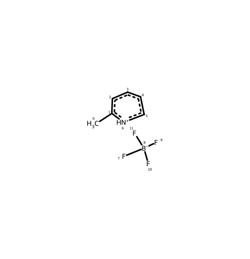 Cc1cccc[nH+]1.F[B-](F)(F)F